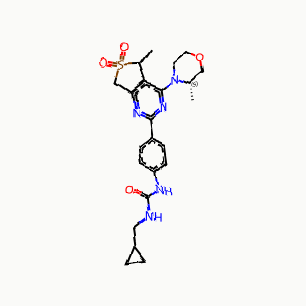 CC1c2c(nc(-c3ccc(NC(=O)NCC4CC4)cc3)nc2N2CCOC[C@@H]2C)CS1(=O)=O